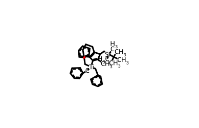 CC1=[C]([Ti]([CH2]c2ccccc2)([CH2]c2ccccc2)[CH2]c2ccccc2)C2=C(CCCC2)C1C[Si](C)(C)C(C)(C)C